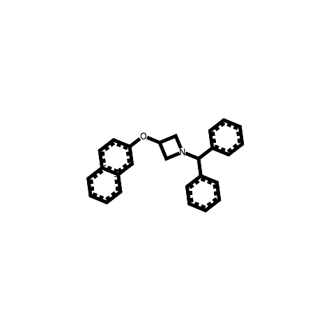 c1ccc(C(c2ccccc2)N2CC(Oc3ccc4ccccc4c3)C2)cc1